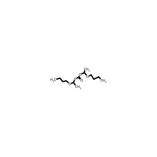 CCCCOC(C)OC(=O)OC(C)OCCCC